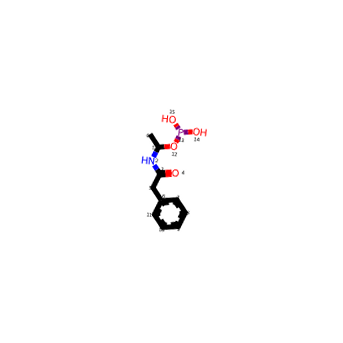 CC(NC(=O)Cc1ccccc1)OP(O)O